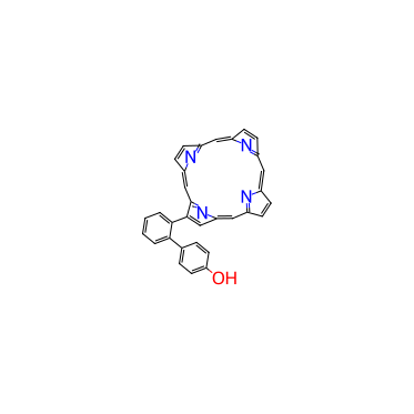 Oc1ccc(-c2ccccc2C2=CC3=CC4=NC(=CC5=NC(=CC6=NC(=CC2=N3)C=C6)C=C5)C=C4)cc1